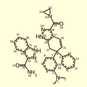 CN(C)c1cccc(C2(c3ccccc3)C=Cc3c(C(=O)N4CC4)n[nH]c3C2)c1.NC(=O)c1n[nH]c2ccccc12